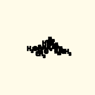 Cc1cc(NC(=O)NCc2c(-n3cccc3)sc3c2CCN(C)C3)sc1C